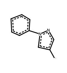 [CH2]c1cnn(-c2ccccc2)c1